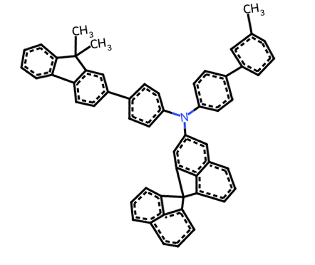 Cc1cccc(-c2ccc(N(c3ccc(-c4ccc5c(c4)C(C)(C)c4ccccc4-5)cc3)c3cc4c5c(cccc5c3)C43c4cccc5cccc3c45)cc2)c1